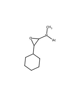 CC(=O)N(C)C1OC1C1CCCCC1